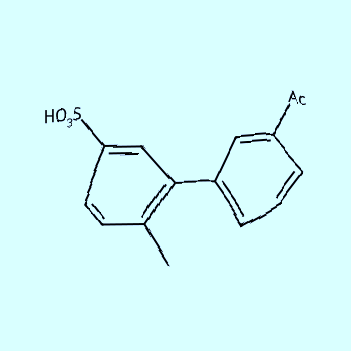 CC(=O)c1cccc(-c2cc(S(=O)(=O)O)ccc2C)c1